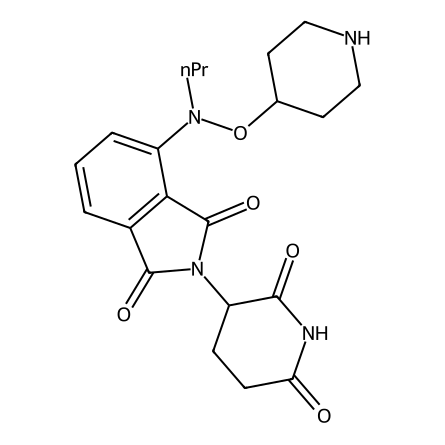 CCCN(OC1CCNCC1)c1cccc2c1C(=O)N(C1CCC(=O)NC1=O)C2=O